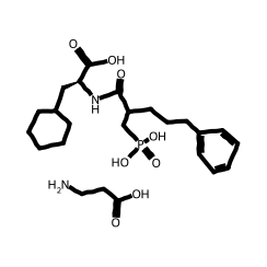 NCCC(=O)O.O=C(N[C@@H](CC1CCCCC1)C(=O)O)C(CCCc1ccccc1)CP(=O)(O)O